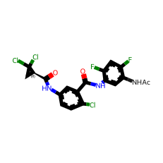 CC(=O)Nc1cc(NC(=O)c2cc(NC(=O)[C@H]3CC3(Cl)Cl)ccc2Cl)c(F)cc1F